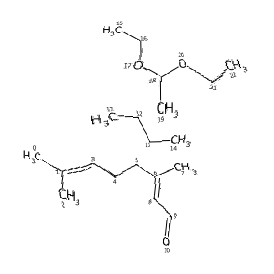 CC(C)=CCCC(C)=CC=O.CCCC.CCOC(C)OCC